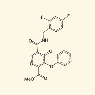 COC(=O)c1occ(C(=O)NCc2ccc(F)cc2F)c(=O)c1Oc1ccccc1